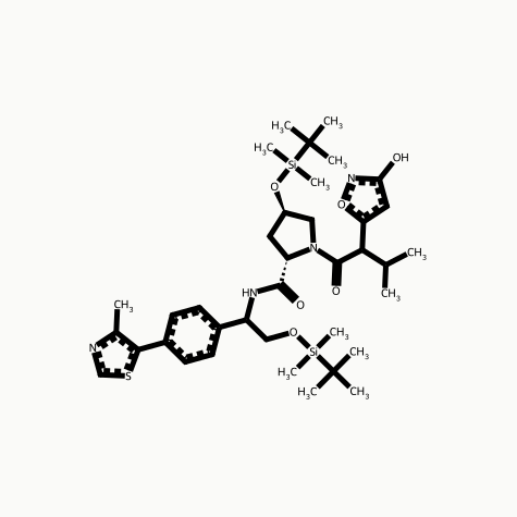 Cc1ncsc1-c1ccc(C(CO[Si](C)(C)C(C)(C)C)NC(=O)[C@@H]2C[C@@H](O[Si](C)(C)C(C)(C)C)CN2C(=O)C(c2cc(O)no2)C(C)C)cc1